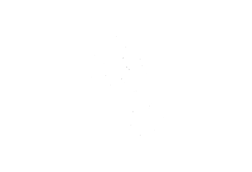 CC(=O)N(C(=O)OCc1ccccc1)c1ccccc1[C]=O